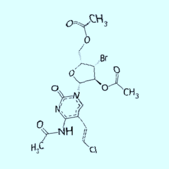 CC(=O)Nc1nc(=O)n([C@@H]2O[C@H](COC(C)=O)[C@H](Br)[C@H]2OC(C)=O)cc1C=CCl